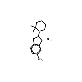 CC1(C)CCCCN1C1Cc2ccc([N+](=O)[O-])cc2C1.N